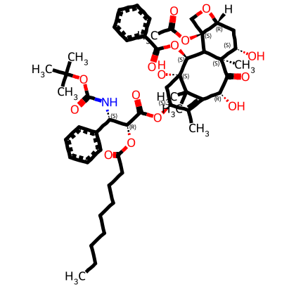 CCCCCCCCC(=O)O[C@@H](C(=O)O[C@H]1C[C@@]2(O)[C@@H](OC(=O)c3ccccc3)C3[C@](C)(C(=O)[C@H](O)C(=C1C)C2(C)C)[C@@H](O)C[C@H]1OC[C@@]31OC(C)=O)[C@@H](NC(=O)OC(C)(C)C)c1ccccc1